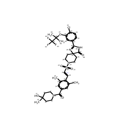 Cc1cc(C(=O)N2CCC(C)(O)CC2)cc(C)c1/C=C/S(=O)(=O)N1CCC2(CC1)N=C(c1ccc(Cl)c(OC(C)(C)C(F)(F)F)c1)NC2=O